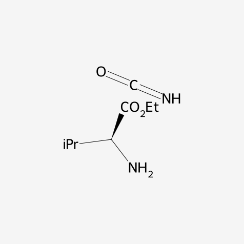 CCOC(=O)[C@@H](N)C(C)C.N=C=O